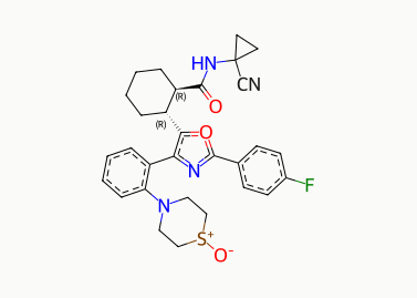 N#CC1(NC(=O)[C@@H]2CCCC[C@H]2c2oc(-c3ccc(F)cc3)nc2-c2ccccc2N2CC[S+]([O-])CC2)CC1